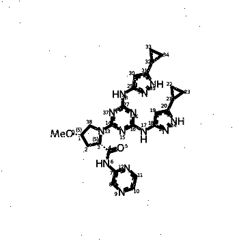 CO[C@H]1C[C@@H](C(=O)Nc2cnccn2)N(c2nc(Nc3cc(C4CC4)[nH]n3)nc(Nc3cc(C4CC4)[nH]n3)n2)C1